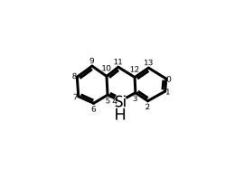 c1ccc2[siH]c3ccccc3cc2c1